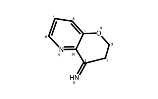 N=C1CCOc2cccnc21